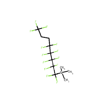 C[Si](C)(C)C(F)(F)C(F)(F)C(F)(F)C(F)(F)C(F)(F)CCC(F)(F)F